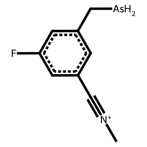 C[N+]#Cc1cc(F)cc(C[AsH2])c1